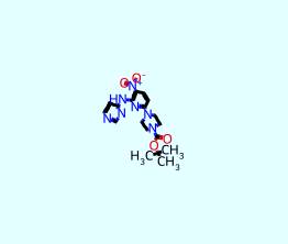 CC(C)(C)OC(=O)N1CCN(c2ccc([N+](=O)[O-])c(Nc3ccncn3)n2)CC1